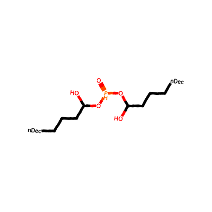 CCCCCCCCCCCCCC(O)O[PH](=O)OC(O)CCCCCCCCCCCCC